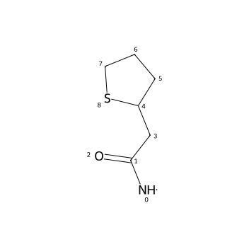 [NH]C(=O)CC1CCCS1